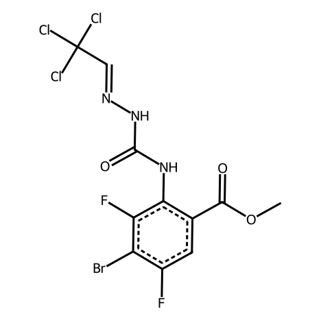 COC(=O)c1cc(F)c(Br)c(F)c1NC(=O)NN=CC(Cl)(Cl)Cl